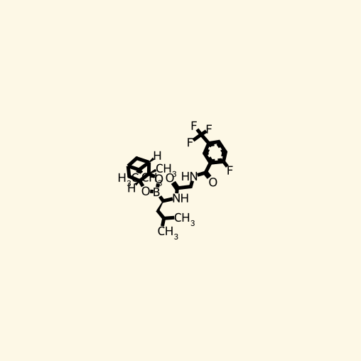 CC(C)C[C@H](NC(=O)CNC(=O)c1cc(C(F)(F)F)ccc1F)B1O[C@@H]2CC3C[C@@H](C3(C)C)[C@]2(C)O1